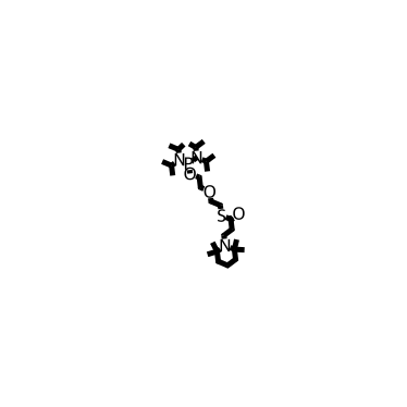 CC(C)N(C(C)C)P(OCCOCCSC(=O)CCN1C(C)(C)CCCC1(C)C)N(C(C)C)C(C)C